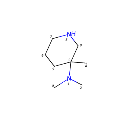 CN(C)C1(C)CCCNC1